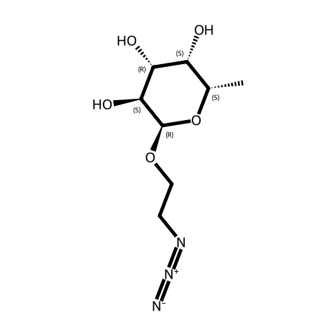 C[C@@H]1O[C@@H](OCCN=[N+]=[N-])[C@@H](O)[C@H](O)[C@@H]1O